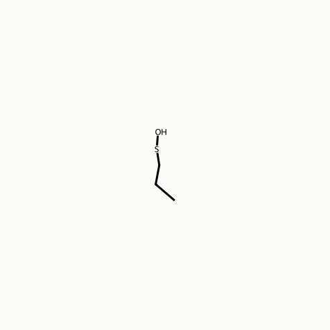 CCCSO